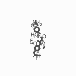 CCn1nc(C(=O)NCC2(O)CCC(S(N)(=O)=O)CC2)c(C)c1-c1ccc(C[C@H](C)C(F)(F)F)cc1OC(F)F